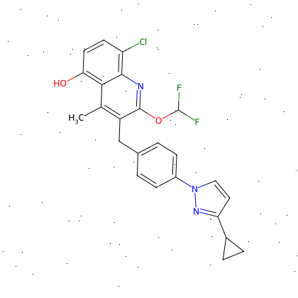 Cc1c(Cc2ccc(-n3ccc(C4CC4)n3)cc2)c(OC(F)F)nc2c(Cl)ccc(O)c12